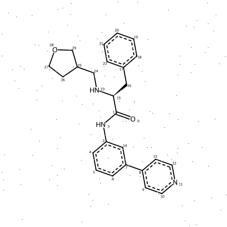 O=C(Nc1cccc(-c2ccncc2)c1)[C@H](Cc1ccccc1)NCC1CCOC1